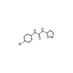 O=C(Nc1ccc(Br)cc1)Nc1ccno1